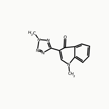 Cn1nnc(-c2cn(C)c3ccccc3c2=O)n1